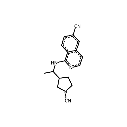 CC(Nc1nccc2cc(C#N)ccc12)C1CCN(C#N)C1